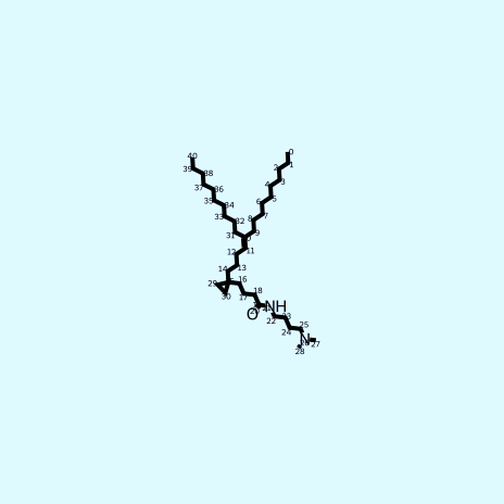 CCCCCCCCCCC(=CCCCC1(CCCC(=O)NCCCCN(C)C)CC1)CCCCCCCCCC